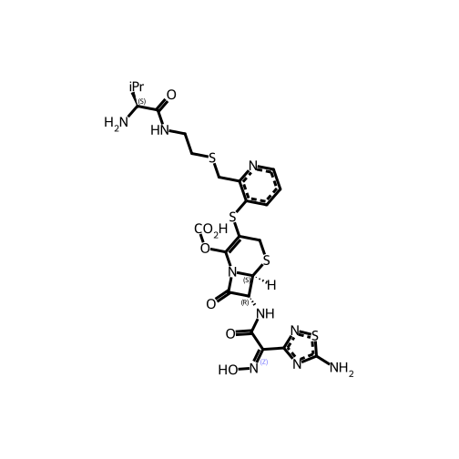 CC(C)[C@H](N)C(=O)NCCSCc1ncccc1SC1=C(OC(=O)O)N2C(=O)[C@@H](NC(=O)/C(=N\O)c3nsc(N)n3)[C@@H]2SC1